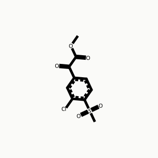 COC(=O)C(=O)c1ccc(S(C)(=O)=O)c(Cl)c1